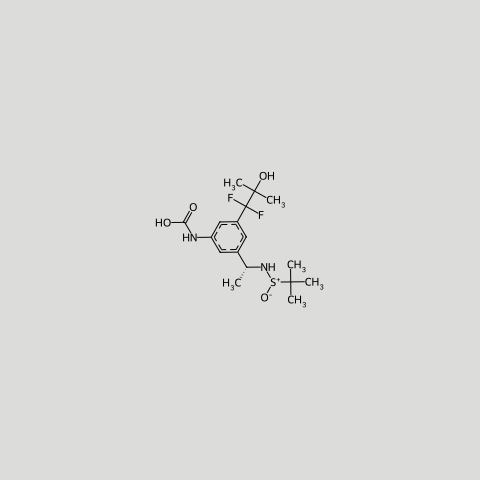 C[C@@H](N[S+]([O-])C(C)(C)C)c1cc(NC(=O)O)cc(C(F)(F)C(C)(C)O)c1